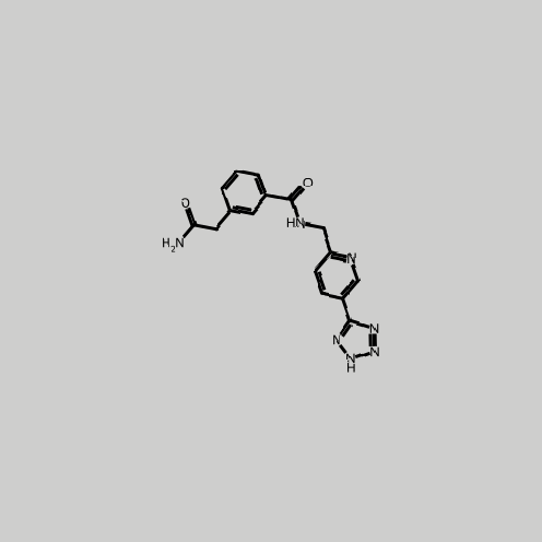 NC(=O)Cc1cccc(C(=O)NCc2ccc(-c3nn[nH]n3)cn2)c1